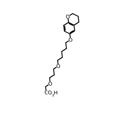 O=C(O)COCCCOCCCCCOc1ccc2c(c1)CCCO2